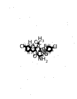 CC(C)N1CC2N(C(=O)C(N)CN2S(=O)(=O)c2ccc(Cl)cc2F)C(Cc2ccc(Cl)cc2)C1=O